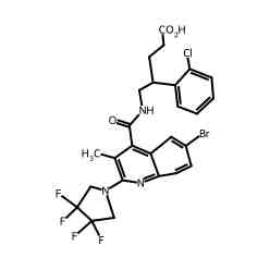 Cc1c(N2CC(F)(F)C(F)(F)C2)nc2ccc(Br)cc2c1C(=O)NCC(CCC(=O)O)c1ccccc1Cl